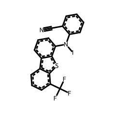 N#Cc1ccccc1N(I)c1cccc2c1sc1c(C(F)(F)F)cccc12